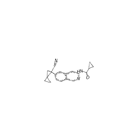 N#CC1(c2ccc3cnc(NC(=O)C4CC4)cc3c2)CC12CC2